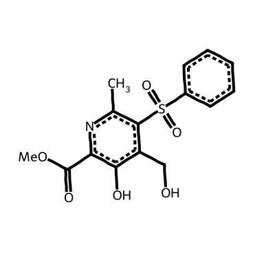 COC(=O)c1nc(C)c(S(=O)(=O)c2ccccc2)c(CO)c1O